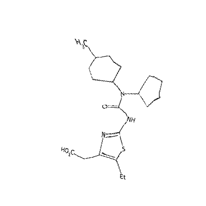 CCc1sc(NC(=O)N(C2CCCC2)C2CCC(C)CC2)nc1CC(=O)O